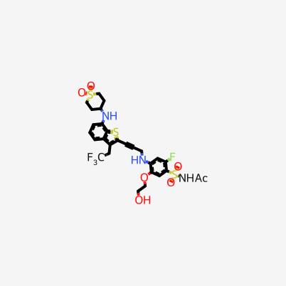 CC(=O)NS(=O)(=O)c1cc(OCCO)c(NCC#Cc2sc3c(NC4CCS(=O)(=O)CC4)cccc3c2CC(F)(F)F)cc1F